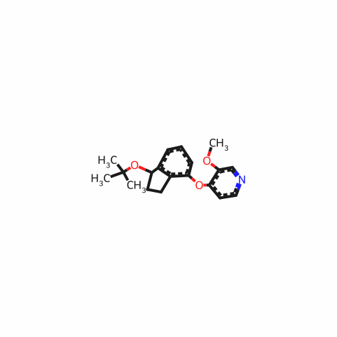 COc1cnccc1Oc1cccc2c1CCC2OC(C)(C)C